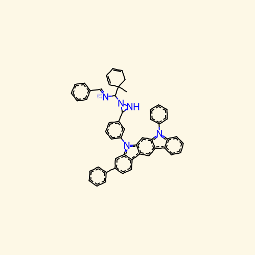 CC1(C(/N=C/c2ccccc2)N2NC2c2cccc(-n3c4cc(-c5ccccc5)ccc4c4cc5c6ccccc6n(-c6ccccc6)c5cc43)c2)C=CC=CC1